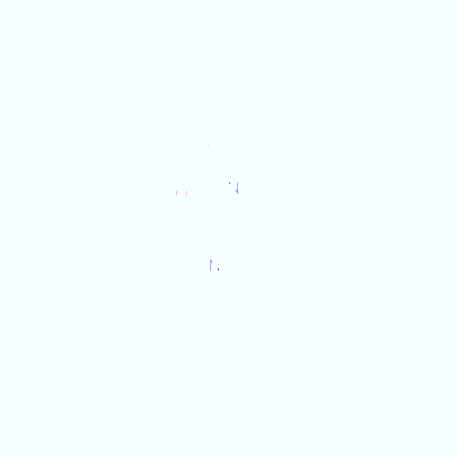 Cc1ccnc2c(C3CCCN(C(=O)OC(C)(C)C)C3)cccc12